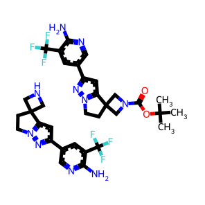 CC(C)(C)OC(=O)N1CC2(CCn3nc(-c4cnc(N)c(C(F)(F)F)c4)cc32)C1.Nc1ncc(-c2cc3n(n2)CCC32CNC2)cc1C(F)(F)F